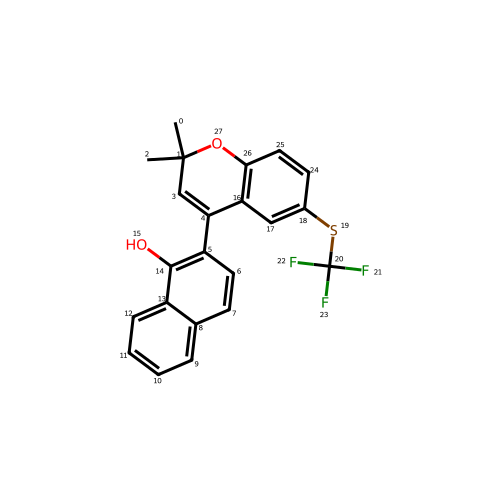 CC1(C)C=C(c2ccc3ccccc3c2O)c2cc(SC(F)(F)F)ccc2O1